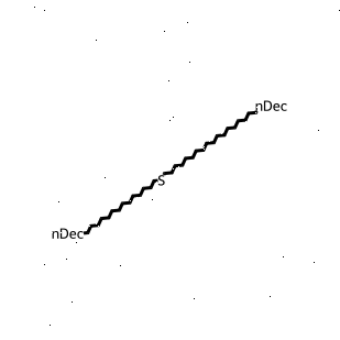 CCCCCCCCCCCCCCCCCCCCCCCCCCCCSCCCCCCCCCCCCCCCCCCCCCCCC